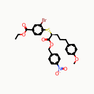 CCOC(=O)c1ccc(S[C@@H](CCCc2ccc(OC)cc2)C(=O)OCc2ccc([N+](=O)[O-])cc2)c(Br)c1